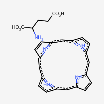 C1=Cc2cc3ccc(cc4nc(cc5ccc(cc1n2)[nH]5)C=C4)[nH]3.NC(CCC(=O)O)C(=O)O